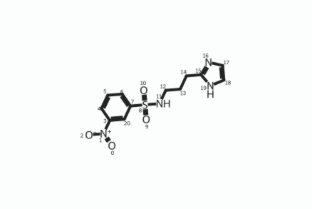 O=[N+]([O-])c1cccc(S(=O)(=O)NCCCc2ncc[nH]2)c1